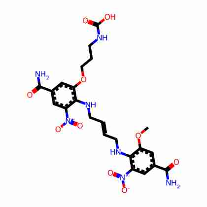 COc1cc(C(N)=O)cc([N+](=O)[O-])c1NC/C=C/CNc1c(OCCCNC(=O)O)cc(C(N)=O)cc1[N+](=O)[O-]